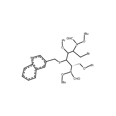 CC(C)OC[C@@H](C(SCc1cnc2ccccc2c1)C(OC(C)C)C(CBr)N(C=O)OC(C)(C)C)N(C=O)OC(C)(C)C